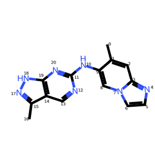 Cc1cc2nccn2cc1Nc1ncc2c(C)n[nH]c2n1